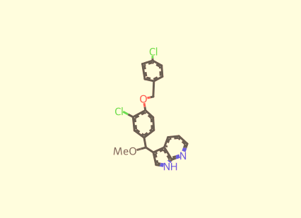 COC(c1ccc(OCc2ccc(Cl)cc2)c(Cl)c1)c1c[nH]c2ncccc12